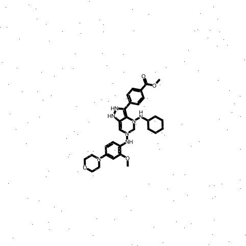 COC(=O)c1ccc(C2=C3C(=CN(Nc4ccc(N5CCOCC5)cc4OC)CN3NC3CCCCC3)NN2)cc1